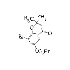 CCOC(=O)c1cc(Br)c2c(c1)C(=O)CC(C)(C)O2